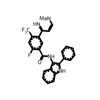 CN/C=C\C(=N)c1cc(C(=O)Nc2c(-c3ccccc3)[nH]c3ccccc23)c(F)cc1C(F)(F)F